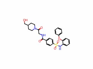 O=C(NCC(=O)N1CCC(CO)CC1)c1ccc(S(=O)(=O)Nc2ccccc2Oc2ccccc2)cc1